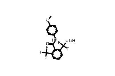 COc1ccc(PC(=O)c2c(C(F)(F)F)cccc2C(F)(F)F)cc1.[LiH]